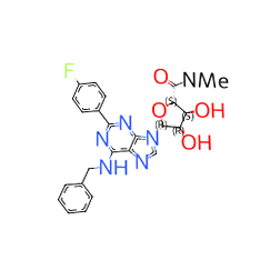 CNC(=O)[C@H]1O[C@@H](n2cnc3c(NCc4ccccc4)nc(-c4ccc(F)cc4)nc32)[C@H](O)[C@@H]1O